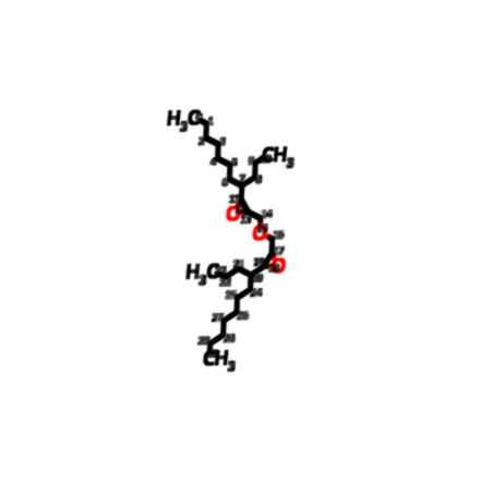 CCCCCCCC(CCC)C1OC1COCC1OC1C(CCC)CCCCCCC